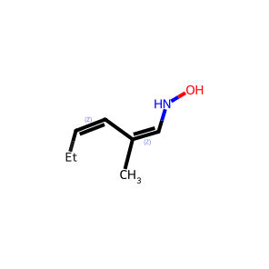 CC/C=C\C(C)=C/NO